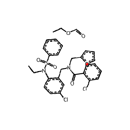 CCN(c1ccc(Cl)cc1CN(Cc1ccco1)C(=O)c1ccccc1Cl)S(=O)(=O)c1ccccc1.CCOC=O